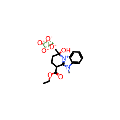 CCOC(=O)C1CCC(C)(O)[n+]2c1n(C)c1ccccc12.[O-][Cl+3]([O-])([O-])[O-]